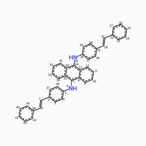 C(=C\c1ccc(Nc2c3ccccc3c(Nc3ccc(/C=C/c4ccccc4)cc3)c3ccccc23)cc1)/c1ccccc1